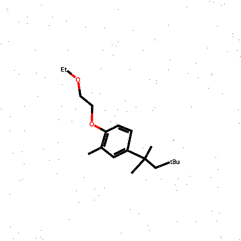 [CH2]COCCOc1ccc(C(C)(C)CC(C)(C)C)cc1C